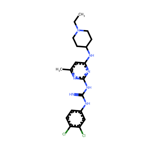 CCN1CCC(Nc2cc(C)nc(NC(=N)Nc3ccc(Cl)c(Cl)c3)n2)CC1